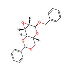 c1ccc(CO[C@H]2O[C@@H]3COC(c4ccccc4)O[C@H]3[C@@H]3O[C@H]23)cc1